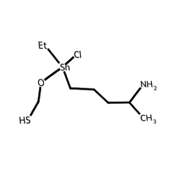 C[CH2][Sn]([Cl])([CH2]CCC(C)N)[O]CS